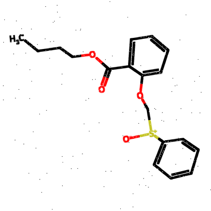 CCCCOC(=O)c1ccccc1OC[S+]([O-])c1ccccc1